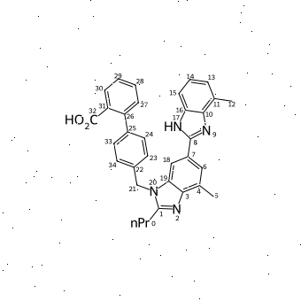 CCCc1nc2c(C)cc(-c3nc4c(C)cccc4[nH]3)cc2n1Cc1ccc(-c2ccccc2C(=O)O)cc1